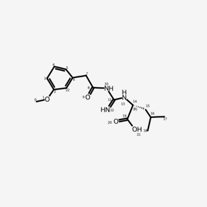 COc1cccc(CC(=O)NC(=N)N[C@H](CC(C)C)C(=O)O)c1